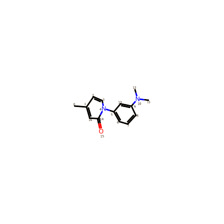 Cc1ccn(-c2cccc(N(C)C)c2)c(=O)c1